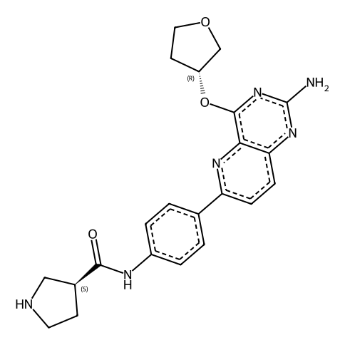 Nc1nc(O[C@@H]2CCOC2)c2nc(-c3ccc(NC(=O)[C@H]4CCNC4)cc3)ccc2n1